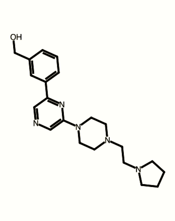 OCc1cccc(-c2cncc(N3CCN(CCN4CCCC4)CC3)n2)c1